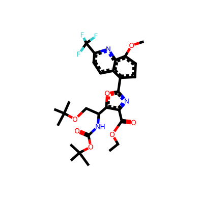 CCOC(=O)c1nc(-c2ccc(OC)c3nc(C(F)(F)F)ccc23)oc1C(COC(C)(C)C)NC(=O)OC(C)(C)C